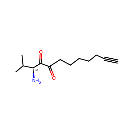 C#CCCCCCC(=O)C(=O)[C@@H](N)C(C)C